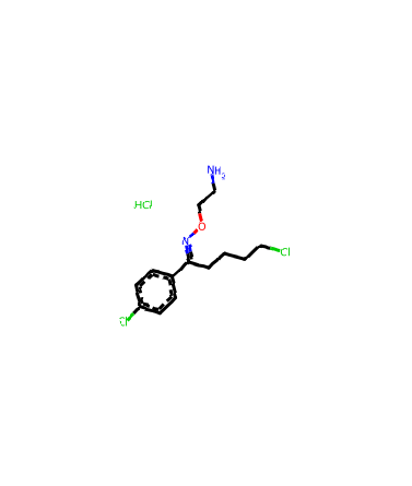 Cl.NCCON=C(CCCCCl)c1ccc(Cl)cc1